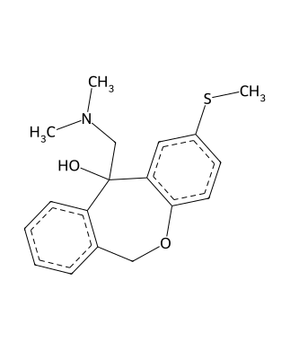 CSc1ccc2c(c1)C(O)(CN(C)C)c1ccccc1CO2